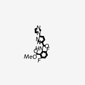 COC(=O)c1c(F)ccc(F)c1NC(=O)c1ccc(-n2ccnc2)nn1